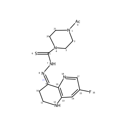 CC(=O)N1CCN(C(=S)N/N=C2/CCNc3cc(F)cnc32)CC1